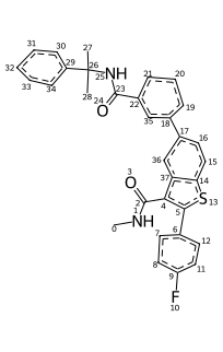 CNC(=O)c1c(-c2ccc(F)cc2)sc2ccc(-c3cccc(C(=O)NC(C)(C)c4ccccc4)c3)cc12